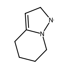 C1=C2CCCCN2[N]C1